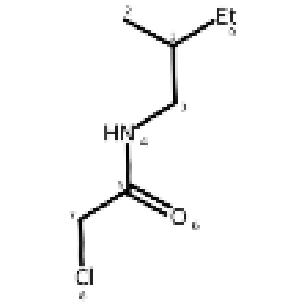 CCC(C)CNC(=O)CCl